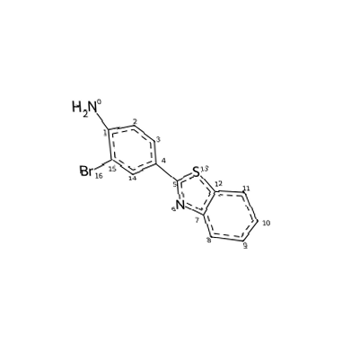 Nc1ccc(-c2nc3ccccc3s2)cc1Br